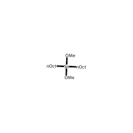 CCCCCCC[CH2][Sn]([CH2]CCCCCCC)([O]C)[O]C